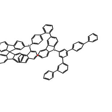 c1ccc(-c2ccc(-c3cc(-c4cccc(-c5ccccc5)c4)cc(-n4c5ccccc5c5cc(-c6ccccc6-c6ccc(N(c7ccc8c(c7)C7(c9ccccc9-c9ccccc97)c7ccccc7-8)c7cccc8ccccc78)cc6)ccc54)c3)cc2)cc1